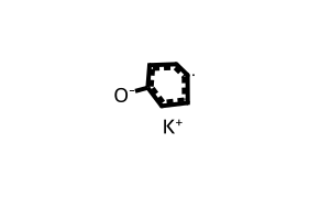 [K+].[O-]c1cc[c]cc1